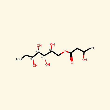 CC(=O)OC[C@H](O)[C@H](O)[C@@H](O)[C@@H](O)COC(=O)CC(O)C(C)C